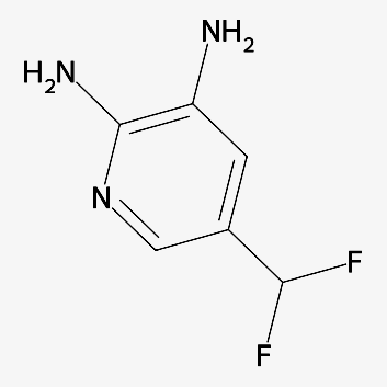 Nc1cc(C(F)F)cnc1N